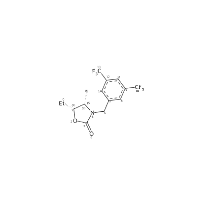 CC[C@H]1OC(=O)N(Cc2cc(C(F)(F)F)cc(C(F)(F)F)c2)[C@H]1C